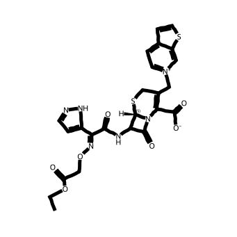 CCOC(=O)CON=C(C(=O)NC1C(=O)N2C(C(=O)[O-])=C(C[n+]3ccc4ccsc4c3)CS[C@@H]12)c1ccn[nH]1